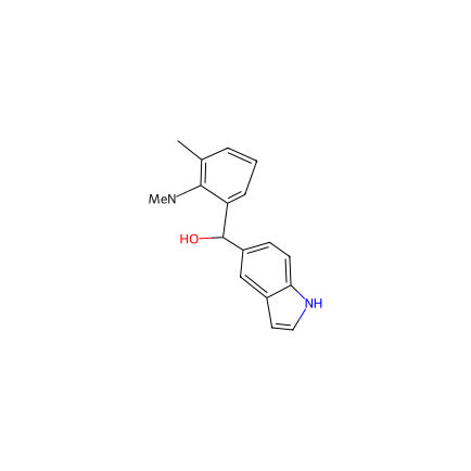 CNc1c(C)cccc1C(O)c1ccc2[nH]ccc2c1